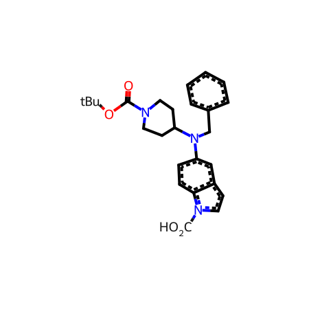 CC(C)(C)OC(=O)N1CCC(N(Cc2ccccc2)c2ccc3c(ccn3C(=O)O)c2)CC1